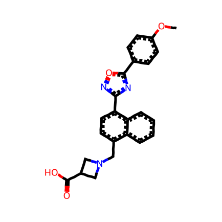 COc1ccc(-c2nc(-c3ccc(CN4CC(C(=O)O)C4)c4ccccc34)no2)cc1